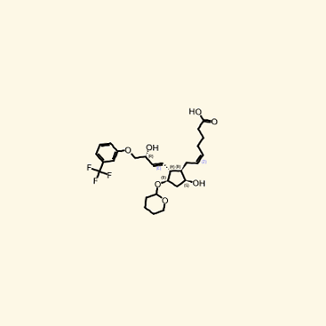 O=C(O)CCC/C=C\C[C@@H]1[C@@H](/C=C/[C@@H](O)COc2cccc(C(F)(F)F)c2)[C@H](OC2CCCCO2)C[C@@H]1O